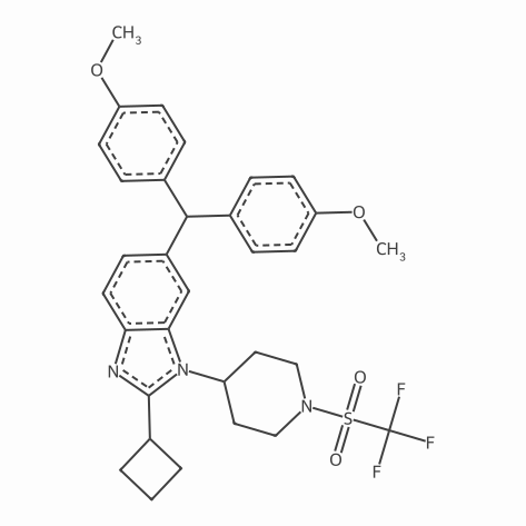 COc1ccc(C(c2ccc(OC)cc2)c2ccc3nc(C4CCC4)n(C4CCN(S(=O)(=O)C(F)(F)F)CC4)c3c2)cc1